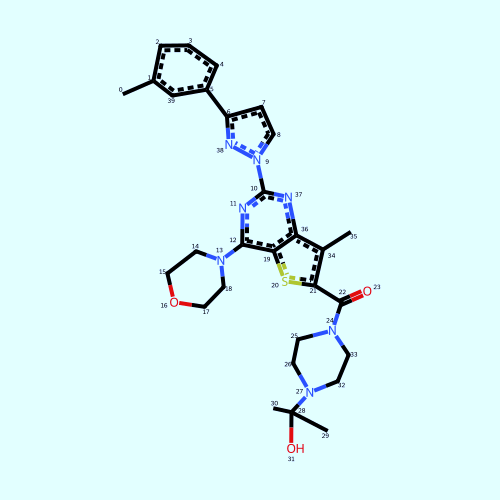 Cc1cccc(-c2ccn(-c3nc(N4CCOCC4)c4sc(C(=O)N5CCN(C(C)(C)O)CC5)c(C)c4n3)n2)c1